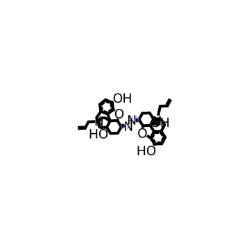 C=CCN1CCC23c4c5ccc(O)c4OC2/C(=N\N=C2\CCC4(O)C6Cc7ccc(O)c8c7C4(CCN6CC=C)C2O8)CCC3(O)C1C5